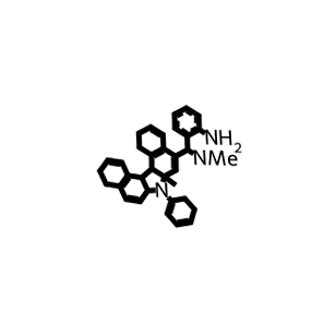 CNC(C1=CC2(C)C(C3=C1C=CCC3)C1C3=C(C=CC1N2C1=CC=CCC1)CCC=C3)c1ccccc1N